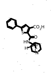 O=C(O)c1cc(-c2ccccc2)sc1C(=O)N[C@H]1CN2CCC1CC2